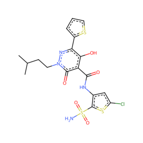 CC(C)CCn1nc(-c2cccs2)c(O)c(C(=O)Nc2cc(Cl)sc2S(N)(=O)=O)c1=O